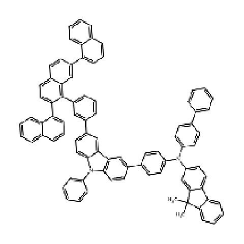 CC1(C)c2ccccc2-c2ccc(N(c3ccc(-c4ccccc4)cc3)c3ccc(-c4ccc5c(c4)c4cc(-c6cccc(-c7c(-c8cccc9ccccc89)ccc8ccc(-c9cccc%10ccccc9%10)cc78)c6)ccc4n5-c4ccccc4)cc3)cc21